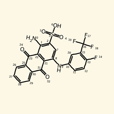 Nc1c(S(=O)(=O)O)cc(Nc2ccc(F)c(C(F)(F)F)c2)c2c1C(=O)c1ccccc1C2=O